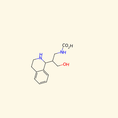 O=C(O)NCC(CO)C1NCCc2ccccc21